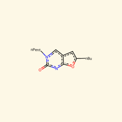 CCCCCn1cc2cc(CCCC)oc2nc1=O